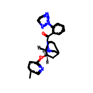 Cc1ccc(O[C@@H]2CC3CC[C@@H]2N(C(=O)c2ccccc2-n2nccn2)C3)nc1